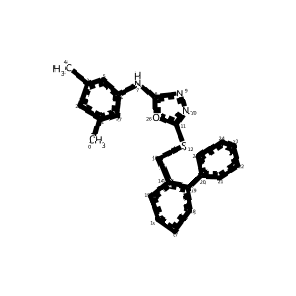 Cc1cc(C)cc(Nc2nnc(SCc3ccccc3-c3ccccc3)o2)c1